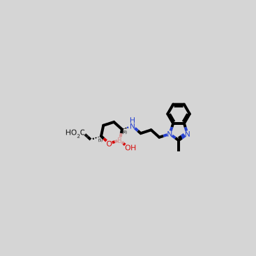 Cc1nc2ccccc2n1CCCN[C@H]1CC[C@@H](CC(=O)O)OB1O